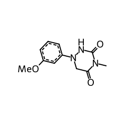 COc1cccc(N2CC(=O)N(C)C(=O)N2)c1